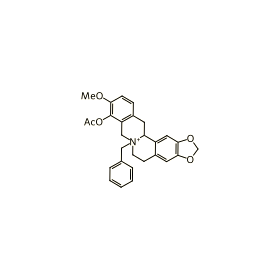 COc1ccc2c(c1OC(C)=O)C[N+]1(Cc3ccccc3)CCc3cc4c(cc3C1C2)OCO4